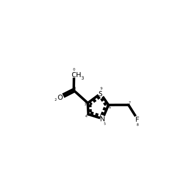 CC(=O)c1cnc(CF)s1